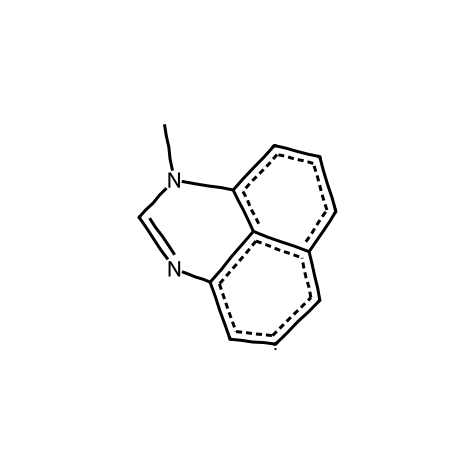 CN1C=Nc2c[c]cc3cccc1c23